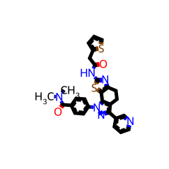 CN(C)C(=O)c1ccc(-n2nc(-c3cccnc3)c3c2-c2sc(NC(=O)Cc4cccs4)nc2CC3)cc1